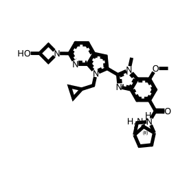 COc1cc(C(=O)N2CC3CCC2[C@@H]3N)cc2nc(-c3cc4ccc(N5CC(O)C5)nc4n3CC3CC3)n(C)c12